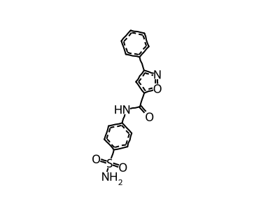 NS(=O)(=O)c1ccc(NC(=O)c2cc(-c3ccccc3)no2)cc1